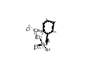 CC[N+](CC)(CC)Cc1ccccc1.O.[Cl-]